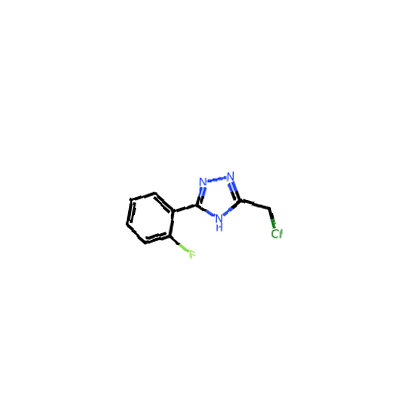 Fc1ccccc1-c1nnc(CCl)[nH]1